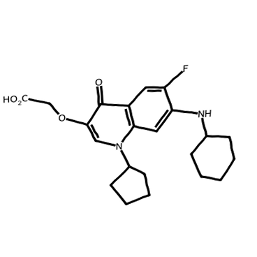 O=C(O)COc1cn(C2CCCC2)c2cc(NC3CCCCC3)c(F)cc2c1=O